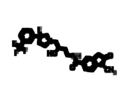 CN1C(=O)Cc2cc(C(=O)NCC[C@@H](O)CN3CCC(F)(c4cccc(C(F)(F)F)c4)C3)ccc21